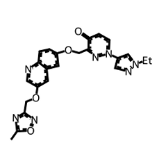 CCn1cc(-n2ccc(=O)c(COc3ccc4ncc(OCc5noc(C)n5)cc4c3)n2)cn1